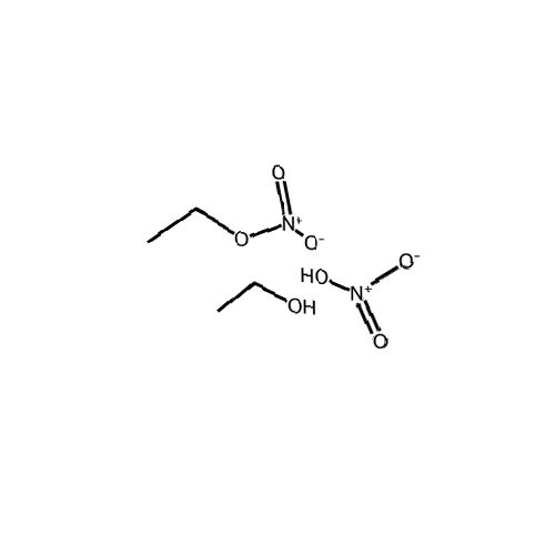 CCO.CCO[N+](=O)[O-].O=[N+]([O-])O